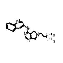 CC(C)CCN1Cc2ncnc(Nc3cnc4ccccc4c3)c2C1